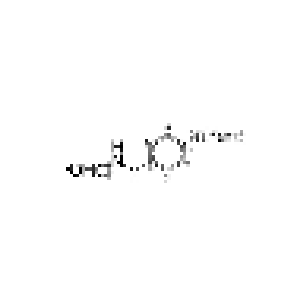 CCCCCc1ccc(CN[C]=O)cc1